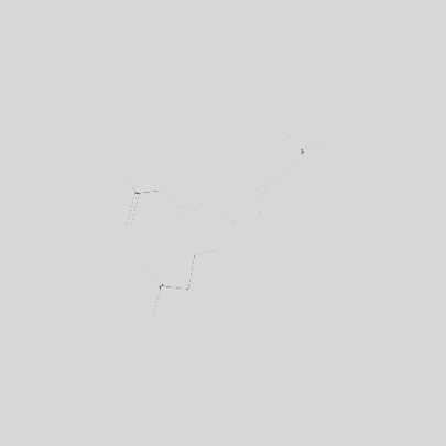 C=C(C)CC[O][Al]([O]CCC(=C)C)[O]CCC(=C)C